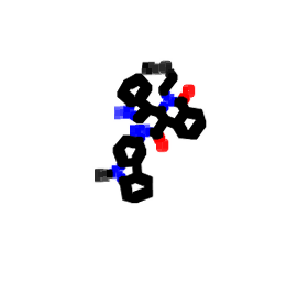 CCn1c2ccccc2c2cc(NC(=O)C3c4ccccc4C(=O)N(CCOC)C3c3c[nH]c4ccccc34)ccc21